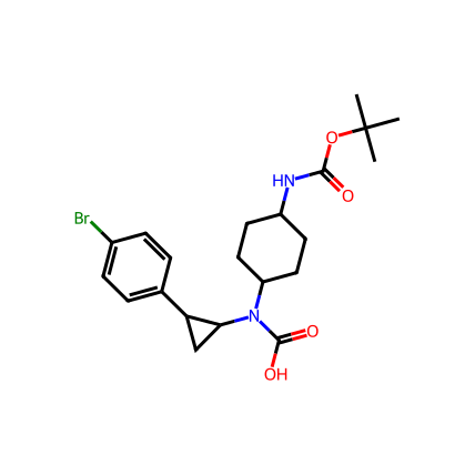 CC(C)(C)OC(=O)NC1CCC(N(C(=O)O)C2CC2c2ccc(Br)cc2)CC1